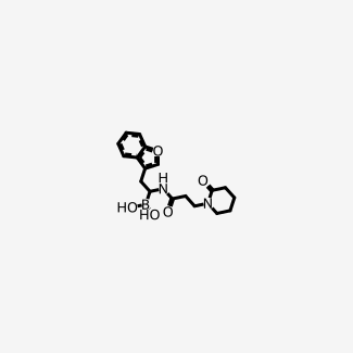 O=C(CCN1CCCCC1=O)NC(Cc1coc2ccccc12)B(O)O